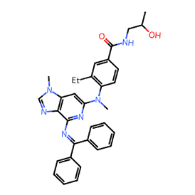 CCc1cc(C(=O)NCC(C)O)ccc1N(C)c1cc2c(ncn2C)c(N=C(c2ccccc2)c2ccccc2)n1